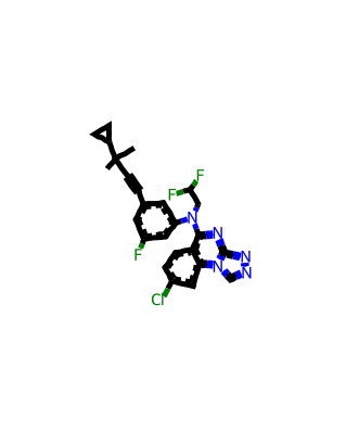 CC(C)(C#Cc1cc(F)cc(N(CC(F)F)c2nc3nncn3c3cc(Cl)ccc23)c1)C1CC1